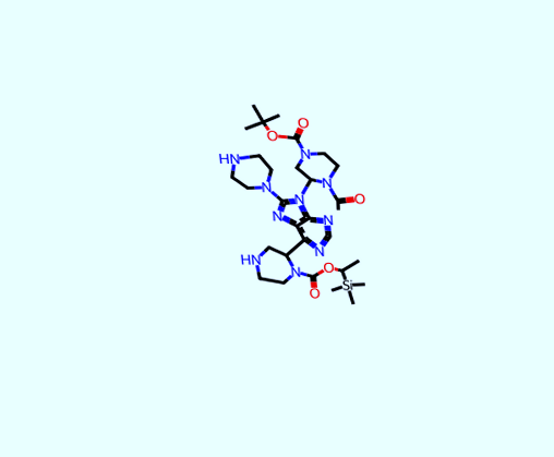 CC(=O)N1CCN(C(=O)OC(C)(C)C)CC1n1c(N2CCNCC2)nc2c(C3CNCCN3C(=O)OC(C)[Si](C)(C)C)ncnc21